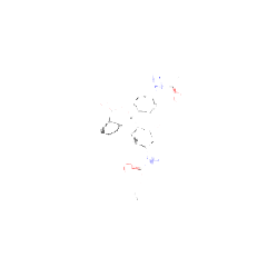 CCOC(=O)Nc1ccc2c(c1)Oc1cc(NC(C)=O)ccc1C21OC(=O)c2ccccc21